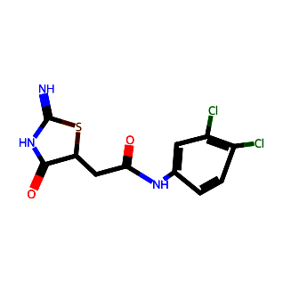 N=C1NC(=O)C(CC(=O)Nc2ccc(Cl)c(Cl)c2)S1